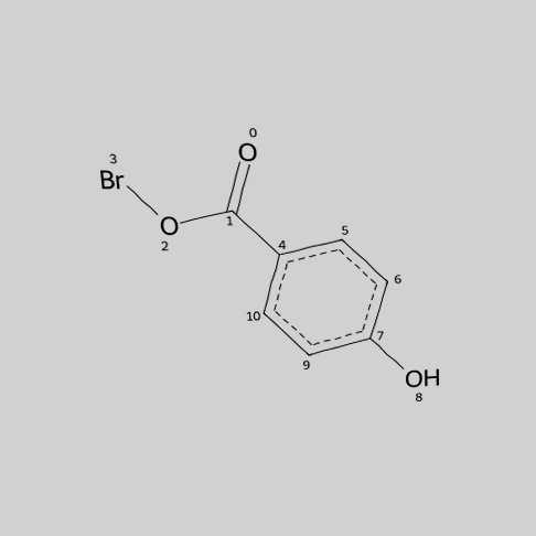 O=C(OBr)c1ccc(O)cc1